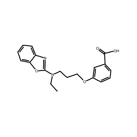 CCN(CCCOc1cccc(C(=O)O)c1)c1nc2ccccc2o1